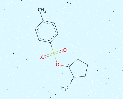 Cc1ccc(S(=O)(=O)OC2CCCC2C)cc1